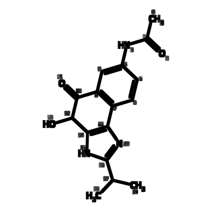 CC(=O)Nc1ccc2c(c1)C(=O)C(O)c1[nH]c(C(C)C)nc1-2